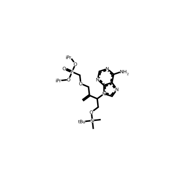 C=C(COCP(=O)(OC(C)C)OC(C)C)C(CO[Si](C)(C)C(C)(C)C)n1cnc2c(N)ncnc21